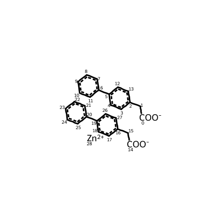 O=C([O-])Cc1ccc(-c2ccccc2)cc1.O=C([O-])Cc1ccc(-c2ccccc2)cc1.[Zn+2]